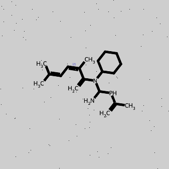 C=C(C)PC(N)N(C(=C)/C(C)=C\C=C(C)C)C1CCCCC1